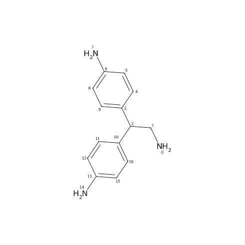 NCC(c1ccc(N)cc1)c1ccc(N)cc1